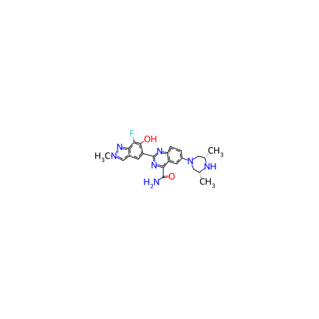 C[C@@H]1CN(c2ccc3nc(-c4cc5cn(C)nc5c(F)c4O)nc(C(N)=O)c3c2)C[C@H](C)N1